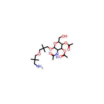 CC(=O)NC1C(OCC(C)(C)COCC(C)(C)CN)OC(CO)C(OC(C)=O)C1OC(C)=O